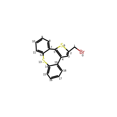 BrCc1cc2c(s1)-c1ccccc1Sc1ccccc1-2